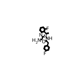 C=C1c2c(F)cccc2N=C(CN)N1NC(=O)Cc1ccc(F)cc1